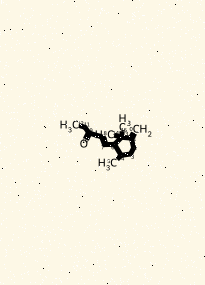 C=C1CCC(C)C(C=CC(=O)CC)C1(C)C